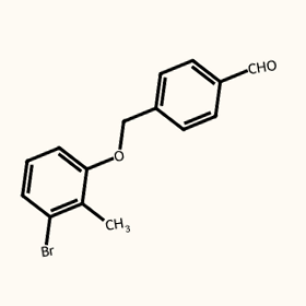 Cc1c(Br)cccc1OCc1ccc(C=O)cc1